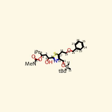 CNC(=O)OC(CC(O)c1nc(CO[Si](C)(C)C(C)(C)C)c(CCOCc2ccccc2)s1)C(C)C